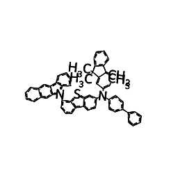 C=C1/C(=C\C(=C/C)N(c2ccc(-c3ccccc3)cc2)c2ccc3c(c2)sc2c(-n4c5ccccc5c5cc6ccccc6cc54)cccc23)C(C)(C)c2ccccc21